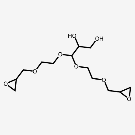 OCC(O)C(OCCOCC1CO1)OCCOCC1CO1